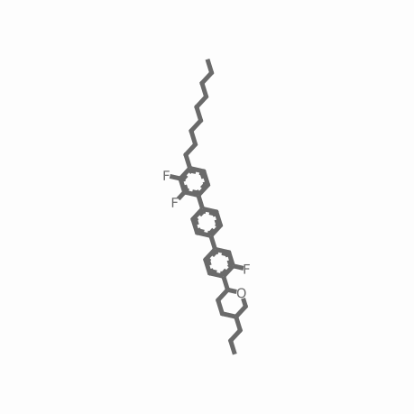 CCCCCCCCCc1ccc(-c2ccc(-c3ccc(C4CCC(CCC)CO4)c(F)c3)cc2)c(F)c1F